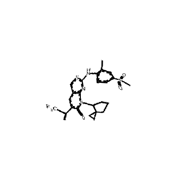 Cc1cc(S(C)(=O)=O)ccc1Nc1ncc2cc(C(C)C(F)(F)F)c(=O)n(C3CCCC34CC4)c2n1